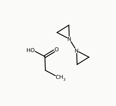 C1CN1N1CC1.CCC(=O)O